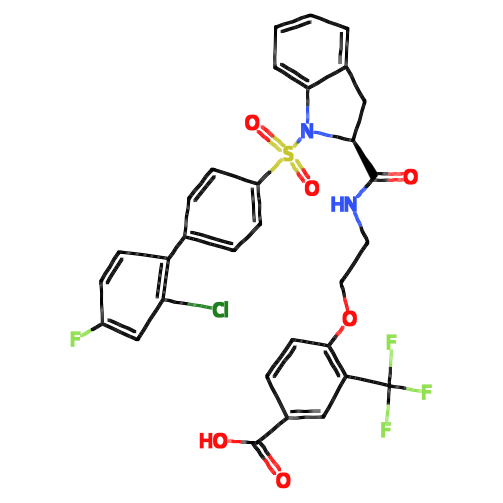 O=C(O)c1ccc(OCCNC(=O)[C@@H]2Cc3ccccc3N2S(=O)(=O)c2ccc(-c3ccc(F)cc3Cl)cc2)c(C(F)(F)F)c1